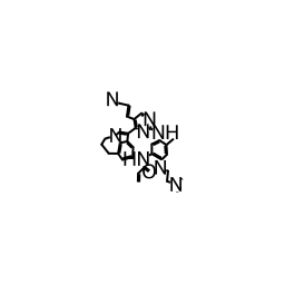 C=CC(=O)Nc1cc(Nc2ncc(/C=C/C#N)c(-c3cn4c5c(cccc35)CCC4)n2)c(C)cc1N(C)CCN(C)C